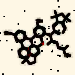 C=C(/C=C1\C(=C/C)C(C)(C)CC1(C)C)N(/C(C)=C/C=C(\C)C(C)(C)C)c1cc(C(C)(C)C)cc(N(c2cc3c(cc2C)CCC3(C)C)c2ccc(C(C)(C)C)cc2-c2ccccc2)c1C